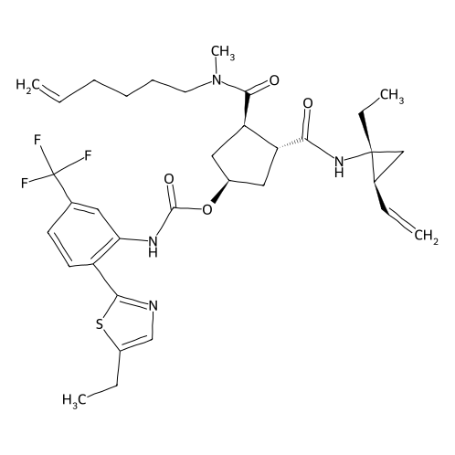 C=CCCCCN(C)C(=O)[C@@H]1C[C@H](OC(=O)Nc2cc(C(F)(F)F)ccc2-c2ncc(CC)s2)C[C@H]1C(=O)N[C@]1(CC)C[C@H]1C=C